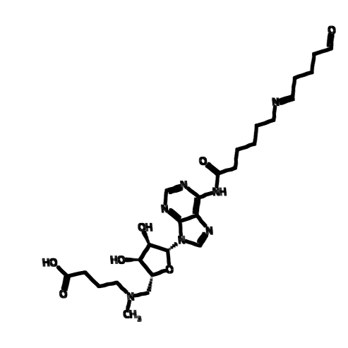 CN(CCCC(=O)O)C[C@H]1O[C@@H](n2cnc3c(NC(=O)CCCCC/N=C/CCCC=O)ncnc32)[C@H](O)[C@@H]1O